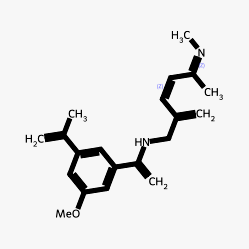 C=C(/C=C\C(C)=N/C)CNC(=C)c1cc(OC)cc(C(=C)C)c1